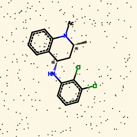 CC(=O)N1c2ccccc2[C@@H](Nc2cccc(Cl)c2Cl)C[C@H]1C